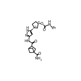 CC(C)NC(=O)O[C@@H]1CC[C@H](c2cc(NC(=O)C3CC4(C(N)=O)CC3C4)n[nH]2)C1